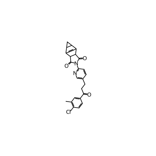 Cc1cc(C(=O)CCc2ccc(N3C(=O)C4C5C=CC(C6CC56)C4C3=O)nc2)ccc1Cl